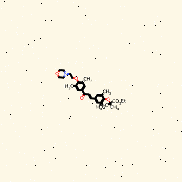 CCOC(=O)C(C)(C)Oc1c(C)cc(/C=C/C(=O)c2cc(C)c(OCCN3CCOCC3)c(C)c2)cc1C